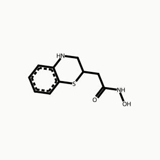 O=C(CC1CNc2ccccc2S1)NO